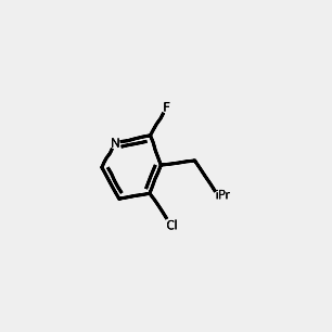 CC(C)Cc1c(Cl)ccnc1F